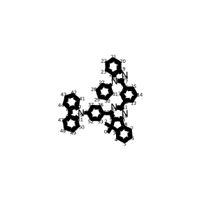 CC1(C)c2ccccc2-c2nc(-c3cccc(-c4nc5ccccc5n4-c4ccccc4)c3)nc(-c3ccc(-n4c5ccccc5c5ccccc54)cc3)c21